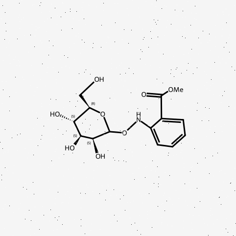 COC(=O)c1ccccc1NOC1O[C@H](CO)[C@@H](O)[C@H](O)[C@@H]1O